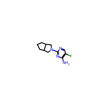 Nc1nc(N2CC3C[CH]CC3C2)ncc1F